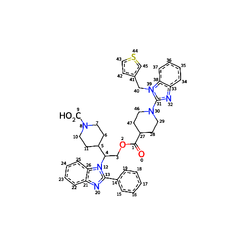 O=C(OCC(C1CCN(C(=O)O)CC1)n1c(-c2ccccc2)nc2ccccc21)C1CCN(c2nc3ccccc3n2Cc2ccsc2)CC1